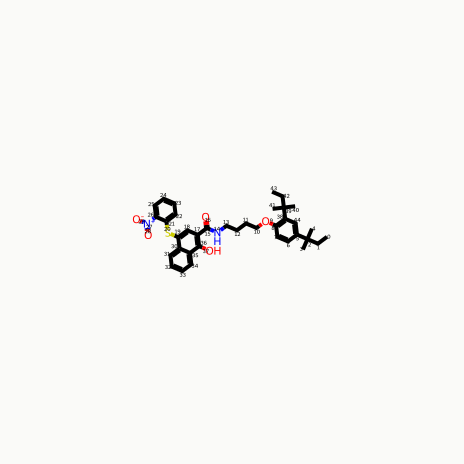 CCC(C)(C)c1ccc(OCCCCNC(=O)c2cc(Sc3ccccc3[N+](=O)[O-])c3ccccc3c2O)c(C(C)(C)CC)c1